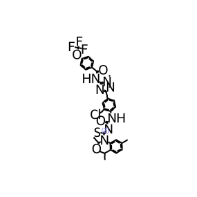 Cc1ccc(C(C)C)c(N2C(=O)CS/C2=N\C(=O)Nc2ccc(-c3nc(NC(=O)c4ccc(OC(F)(F)F)cc4)n(C)n3)cc2Cl)c1